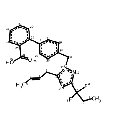 CC=CCc1nc(C(F)(F)CC)nn1Cc1ccc(-c2ccccc2C(=O)O)cc1